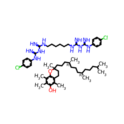 Cc1c(C)c2c(c(C)c1O)CC[C@@](C)(CCC[C@H](C)CCC[C@H](C)CCCC(C)C)O2.N=C(NCCCCCCNC(=N)NC(=N)Nc1ccc(Cl)cc1)NC(=N)Nc1ccc(Cl)cc1